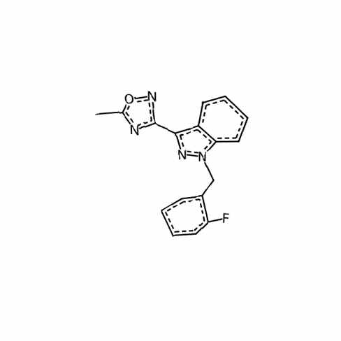 Cc1nc(-c2nn(Cc3ccccc3F)c3ccccc23)no1